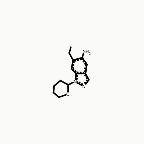 CCc1cc2c(cnn2C2CCCCO2)cc1N